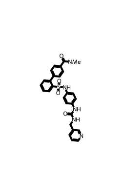 CNC(=O)c1ccc(-c2ccccc2S(=O)(=O)Nc2ccc(NC(=O)NCc3cccnc3)cc2)cc1